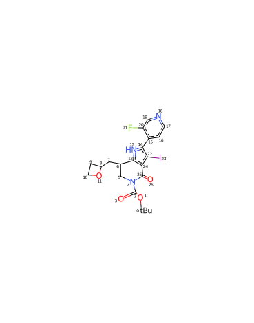 CC(C)(C)OC(=O)N1CC(CC2CCO2)c2[nH]c(-c3ccncc3F)c(I)c2C1=O